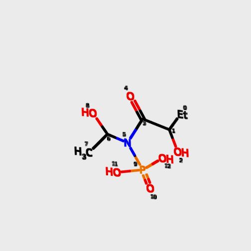 CCC(O)C(=O)N(C(C)O)P(=O)(O)O